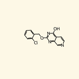 Oc1nc(OCc2ccccc2Cl)nc2cnccc12